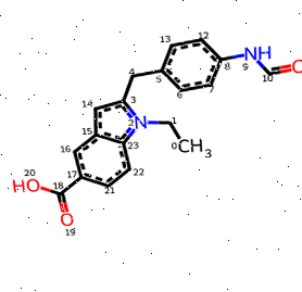 CCn1c(Cc2ccc(NC=O)cc2)cc2cc(C(=O)O)ccc21